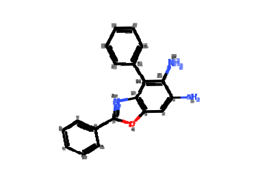 Nc1cc2oc(-c3ccccc3)nc2c(-c2ccccc2)c1N